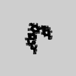 Cc1cc(Nc2ccc(Cl)cc2)cc(-c2ncn(/C=C\C(=O)OC(C)C)n2)c1